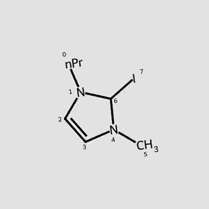 CCCN1C=CN(C)C1I